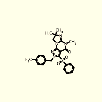 CN1C(=O)c2c(nn(Cc3ccc(C(F)(F)F)cc3)c2S(=O)(=O)c2ccccc2)N2CC(C)(C)N=C12